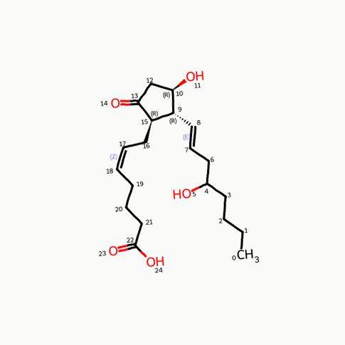 CCCCC(O)C/C=C/[C@H]1[C@H](O)CC(=O)[C@@H]1C/C=C\CCCC(=O)O